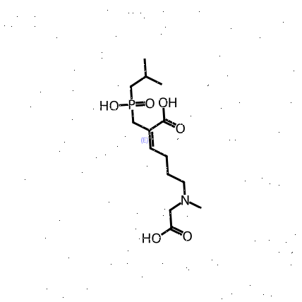 CC(C)CP(=O)(O)C/C(=C/CCCN(C)CC(=O)O)C(=O)O